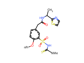 CCCOc1ccc(CC(=O)NC(C)c2nccs2)cc1S(=O)(=O)NC(=S)NC